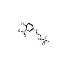 COc1ccc(OCCNS(C)(=O)=O)cc1[N+](=O)[O-]